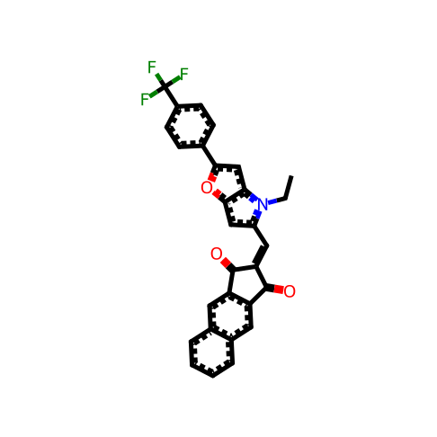 CCn1c(C=C2C(=O)c3cc4ccccc4cc3C2=O)cc2oc(-c3ccc(C(F)(F)F)cc3)cc21